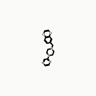 C1=COc2cc(CN3CCN(c4cnccn4)CC3)ccc2O1